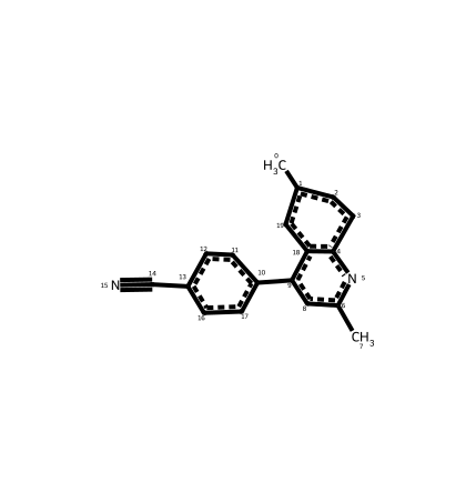 Cc1ccc2nc(C)cc(-c3ccc(C#N)cc3)c2c1